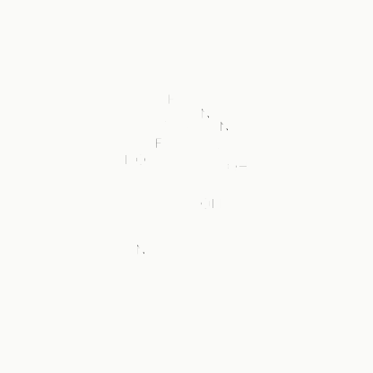 CCn1c(C)c(C2C(O)C(c3c(C(F)(F)F)nn(-c4ccccc4)c3O)C2O)c2ccccc21